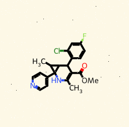 COC(=O)C1=C(C)NC2(c3ccncc3)C(C)C2C1c1ccc(F)cc1Cl